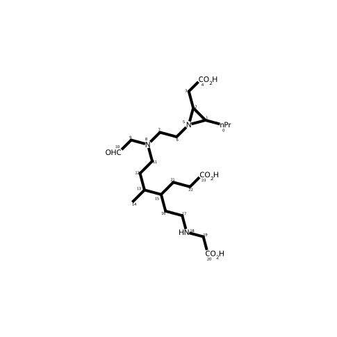 CCCC1C(CC(=O)O)N1CCN(CC=O)CCC(C)C(CCNCC(=O)O)CCC(=O)O